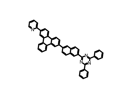 c1ccc(-c2nc(-c3ccccc3)nc(-c3ccc4cc(-c5ccc6c7ccc(-c8ccccn8)cc7c7ccccc7c6c5)ccc4c3)n2)cc1